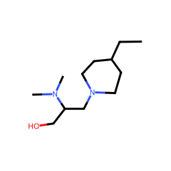 CCC1CCN(CC(CO)N(C)C)CC1